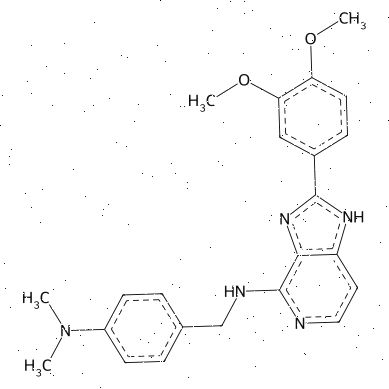 COc1ccc(-c2nc3c(NCc4ccc(N(C)C)cc4)nccc3[nH]2)cc1OC